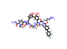 C[C@@H]1NC(=O)[C@@H](N(C)C(=O)[C@H](CCCCN)NC(=O)c2ccc(-c3ccc(Cl)cc3)cc2)c2ccc(O)c(c2)-c2cc(ccc2O)C[C@@H](C(=O)N[C@@H](C)C(=O)N(C)[C@H](C)C(N)=O)NC1=O